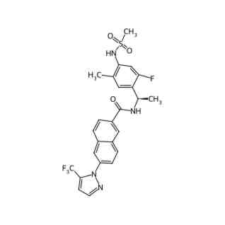 Cc1cc([C@@H](C)NC(=O)c2ccc3cc(-n4nccc4C(F)(F)F)ccc3c2)c(F)cc1NS(C)(=O)=O